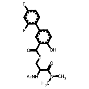 CC(=O)NC(CSC(=O)c1cc(-c2ccc(F)cc2F)ccc1O)C(=O)N(C)C